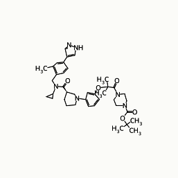 Cc1cc(-c2cn[nH]c2)ccc1CN(C(=O)[C@@H]1CCCN(c2cccc(OC(C)(C)C(=O)N3CCN(C(=O)OC(C)(C)C)CC3)c2)C1)C1CC1